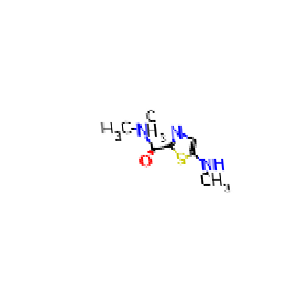 CNc1cnc(C(=O)N(C)C)s1